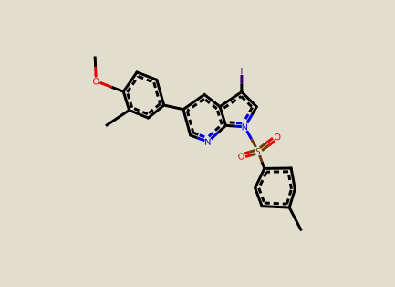 COc1ccc(-c2cnc3c(c2)c(I)cn3S(=O)(=O)c2ccc(C)cc2)cc1C